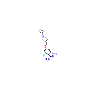 Nc1n[nH]c2cc(OCC3CCN(C4CCC4)CC3)cc(F)c12